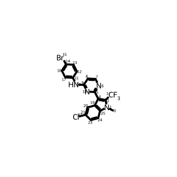 Cn1c(C(F)(F)F)c(-c2nccc(Nc3ccc(Br)cc3)n2)c2cc(Cl)ccc21